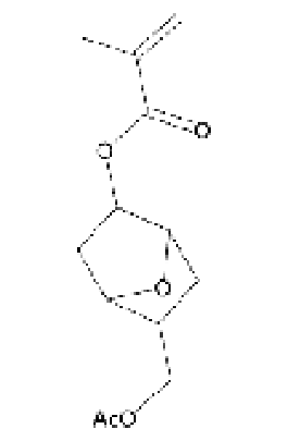 C=C(C)C(=O)OC1CC2OC1CC2COC(C)=O